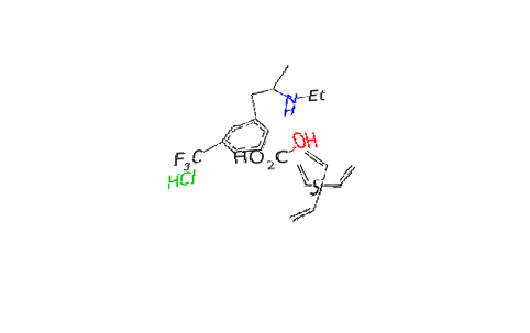 C=C[Si](C=C)(C=C)C=C.CCNC(C)Cc1cccc(C(F)(F)F)c1.Cl.O=C(O)O